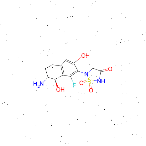 N[C@@H]1CCc2cc(O)c(N3CC(=O)NS3(=O)=O)c(F)c2[C@H]1O